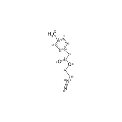 Cc1ccc(CC(=O)OCC[N+]#N)cc1